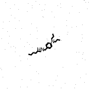 CCCCCCNCc1ccc(N(CCC)CCC)cc1